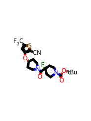 CC(C)(C)OC(=O)N1CCC(F)(C(=O)N2CCC(Oc3cc(C(F)(F)F)sc3C#N)CC2)CC1